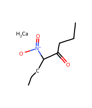 CCCC(=O)C(CCC)[N+](=O)[O-].[CaH2]